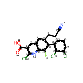 N#CCCc1cc2cc(C(=O)O)c(Cl)nc2c(F)c1-c1cccc(Cl)c1Cl